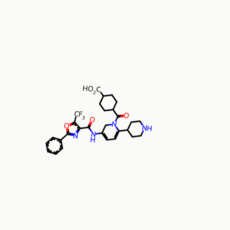 O=C(NC1=CC=C(C2CCNCC2)N(C(=O)C2CCC(C(=O)O)CC2)C1)c1nc(-c2ccccc2)oc1C(F)(F)F